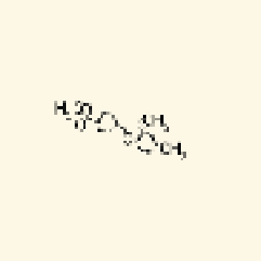 COC(=O)C1=CC=C(COc2ccc(C)cc2OC)CC1